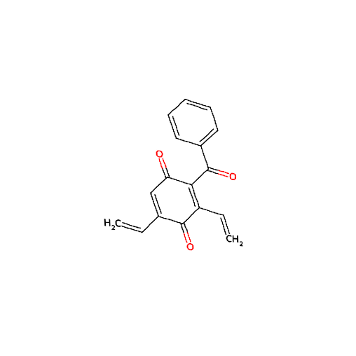 C=CC1=CC(=O)C(C(=O)c2ccccc2)=C(C=C)C1=O